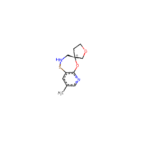 Cc1cnc2c(c1)SNC[C@]1(CCOC1)O2